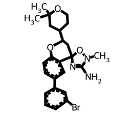 CN1OC2(CC(C3CCOC(C)(C)C3)Oc3ccc(-c4cccc(Br)c4)cc32)N=C1N